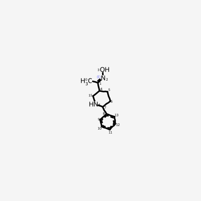 C/C(=N\O)C1CCC(c2ccccc2)NC1